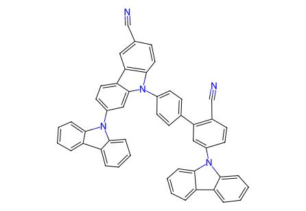 N#Cc1ccc2c(c1)c1ccc(-n3c4ccccc4c4ccccc43)cc1n2-c1ccc(-c2cc(-n3c4ccccc4c4ccccc43)ccc2C#N)cc1